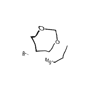 C1COCOC1.C[CH2][Mg+].[Br-]